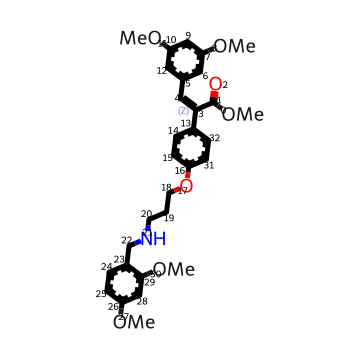 COC(=O)/C(=C\c1cc(OC)cc(OC)c1)c1ccc(OCCCNCc2ccc(OC)cc2OC)cc1